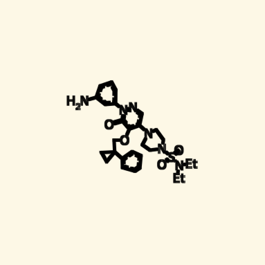 CCN(CC)S(=O)(=O)N1CCN(c2cnn(-c3cccc(N)c3)c(=O)c2OCC2(c3ccccc3)CC2)CC1